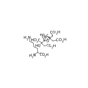 NCCCCC(N)C(=O)O.O=C(O)CC(O)(CC(=O)O)C(=O)O.O=C(O)CC(O)(CC(=O)O)C(=O)O